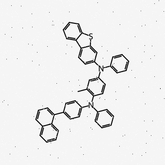 Cc1cc(N(c2ccccc2)c2ccc3c(c2)sc2ccccc23)ccc1N(c1ccccc1)c1ccc(-c2cccc3ccccc23)cc1